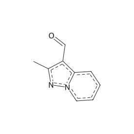 Cc1nn2ccccc2c1C=O